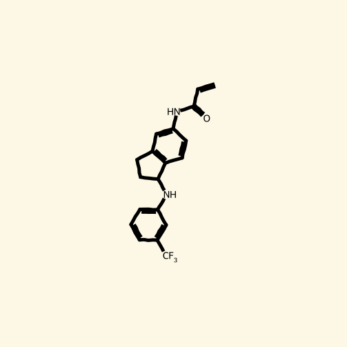 C=CC(=O)Nc1ccc2c(c1)CCC2Nc1cccc(C(F)(F)F)c1